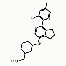 Cc1cnc(-c2nnc(NC3CCCN(CC(=O)O)C3)c3c2CCC3)c(O)c1